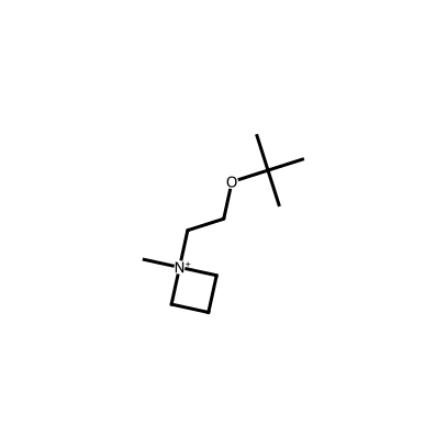 CC(C)(C)OCC[N+]1(C)CCC1